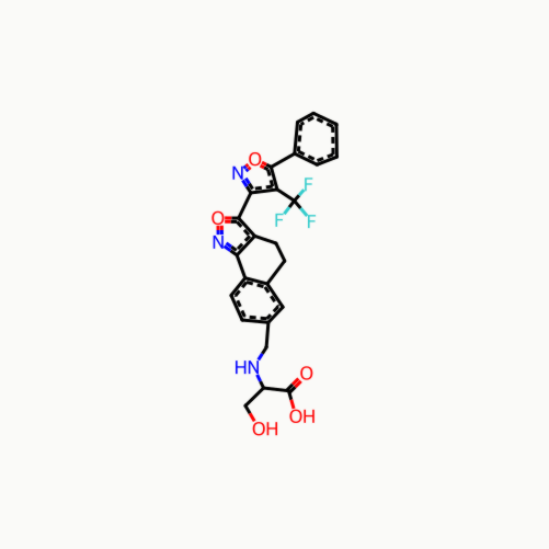 O=C(O)C(CO)NCc1ccc2c(c1)CCc1c-2noc1-c1noc(-c2ccccc2)c1C(F)(F)F